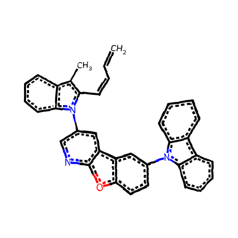 C=C/C=C\c1c(C)c2ccccc2n1-c1cnc2oc3ccc(-n4c5ccccc5c5ccccc54)cc3c2c1